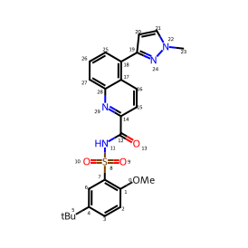 COc1ccc(C(C)(C)C)cc1S(=O)(=O)NC(=O)c1ccc2c(-c3ccn(C)n3)cccc2n1